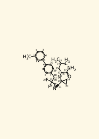 Cc1cccc(-c2ccc([C@H](N([C@@H](CC(C)C)C(N)=O)C3(C#N)CC3)C(F)(F)F)cc2)n1